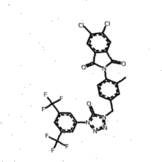 Cc1cc(Cn2nnn(-c3cc(C(F)(F)F)cc(C(F)(F)F)c3)c2=O)ccc1N1C(=O)c2cc(Cl)c(Cl)cc2C1=O